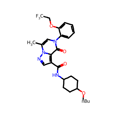 CCCCOC1CCC(NC(=O)c2cnn3c(C)cn(-c4ccccc4OCC(F)(F)F)c(=O)c23)CC1